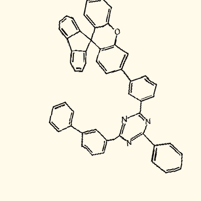 c1ccc(-c2cccc(-c3nc(-c4ccccc4)nc(-c4cccc(-c5ccc6c(c5)Oc5ccccc5C65c6ccccc6-c6ccccc65)c4)n3)c2)cc1